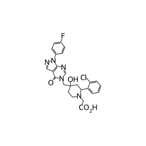 O=C(O)CN1CCC(O)(Cn2cnc3c(cnn3-c3ccc(F)cc3)c2=O)CC1c1ccccc1Cl